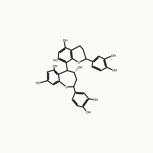 Oc1cc(O)c2c(c1)OC(c1ccc(O)c(O)c1)C[C@@H](O)C2c1c(O)cc(O)c2c1OC(c1ccc(O)c(O)c1)CC2